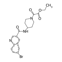 CCOC(=O)C(=O)N1CCC(NC(=O)c2cnc3ccc(Br)cc3c2)CC1